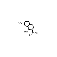 C/C(Cl)=C1\CSc2ccc(C)cc2C1O